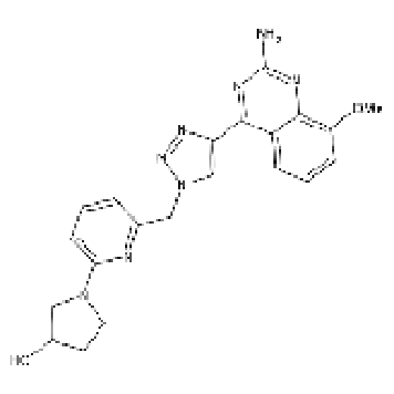 COc1cccc2c(-c3cn(Cc4cccc(N5CCC(O)C5)n4)nn3)nc(N)nc12